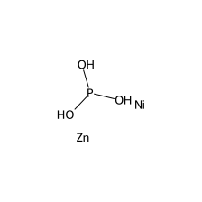 OP(O)O.[Ni].[Zn]